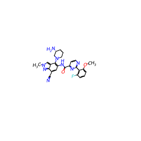 COc1cccc(F)c1-c1nccc(C(=O)Nc2cc(C#N)c3nn(C)cc3c2N2CCC[C@@H](N)C2)n1